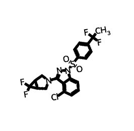 CC(F)(F)c1ccc(S(=O)(=O)n2nc(N3CC4C(C3)C4(F)F)c3c(Cl)cccc32)cc1